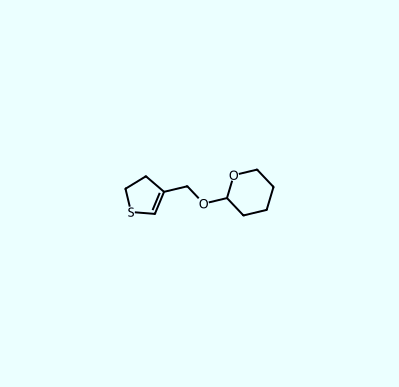 C1=C(COC2CCCCO2)CCS1